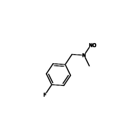 CN(Cc1ccc(F)cc1)N=O